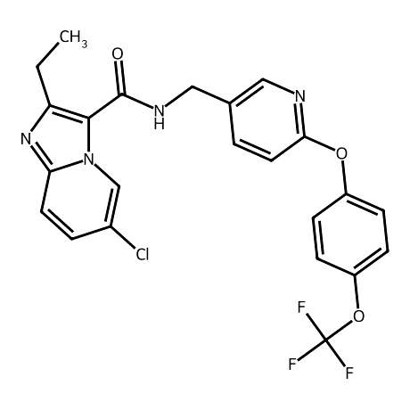 CCc1nc2ccc(Cl)cn2c1C(=O)NCc1ccc(Oc2ccc(OC(F)(F)F)cc2)nc1